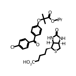 CC(C)OC(=O)C(C)(C)Oc1ccc(C(=O)c2ccc(Cl)cc2)cc1.O=C(O)CCCC[C@@H]1SC[C@@H]2NC(=O)N[C@@H]21